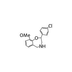 COc1cccc2c1OC(c1ccc(Cl)cc1)CNC2